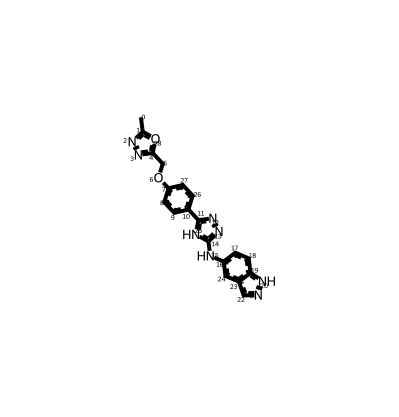 Cc1nnc(COc2ccc(-c3nnc(Nc4ccc5[nH]ncc5c4)[nH]3)cc2)o1